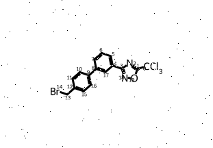 ClC(Cl)(Cl)c1nc(-c2cccc(-c3ccc(CBr)cc3)c2)no1